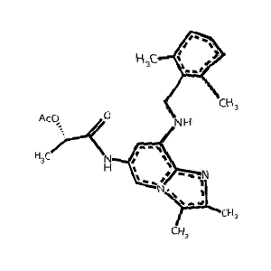 CC(=O)O[C@@H](C)C(=O)Nc1cc(NCc2c(C)cccc2C)c2nc(C)c(C)n2c1